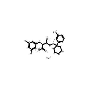 CC(C)c1cccc(C2(NC[C@H](O)[C@H](Cc3cc(F)cc(F)c3)C(N)=O)CCCCC2)c1.Cl